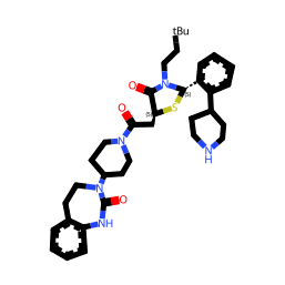 CC(C)(C)CCN1C(=O)[C@H](CC(=O)N2CCC(N3CCc4ccccc4NC3=O)CC2)S[C@H]1c1ccccc1C1CCNCC1